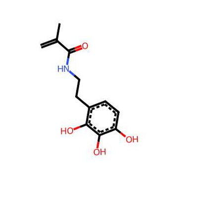 C=C(C)C(=O)NCCc1ccc(O)c(O)c1O